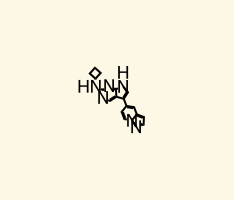 c1cc2cc(-c3c[nH]c4nc(NC5CCC5)ncc34)ccn2n1